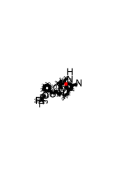 C[C@H](Cc1cc(C#N)c2c(c1)CCN2)N(CCOc1ccccc1OCC(F)(F)F)OC(=O)C(C)(C)C